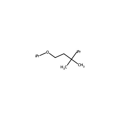 CC(C)OCCC(C)(C)C(C)C